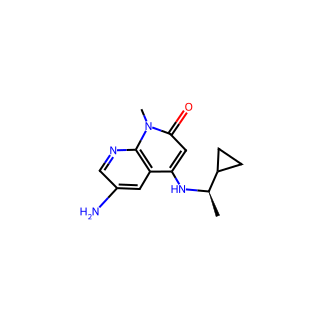 C[C@@H](Nc1cc(=O)n(C)c2ncc(N)cc12)C1CC1